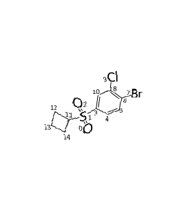 O=S(=O)(c1ccc(Br)c(Cl)c1)C1CCC1